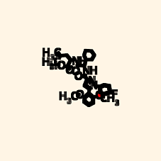 COc1cccc(OC)c1-c1cc(C(=O)NC(C(=O)NC(CC(C)C)C(=O)O)C2CCCCC2)nn1-c1ccc(F)cc1